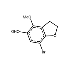 COc1c(C=O)cc(Br)c2c1CCO2